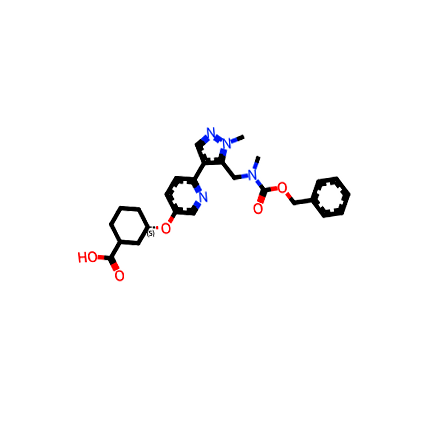 CN(Cc1c(-c2ccc(O[C@H]3CCCC(C(=O)O)C3)cn2)cnn1C)C(=O)OCc1ccccc1